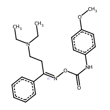 CCN(CC)CC/C(=N\OC(=O)Nc1ccc(OC)cc1)c1ccccc1